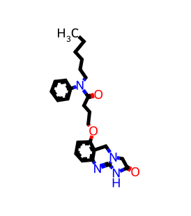 CCCCCCN(C(=O)CCCOc1cccc2c1CN1CC(=O)NC1=N2)c1ccccc1